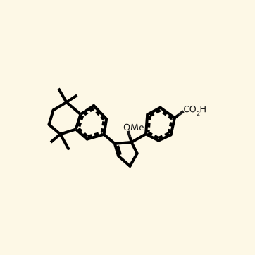 COC1(c2ccc(C(=O)O)cc2)CCC=C1c1ccc2c(c1)C(C)(C)CCC2(C)C